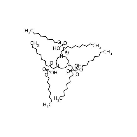 CCCCCCCCOP(=O)(O)P(=O)(CCCCCCCC)CN1CCN(CP(=O)(CCCCCCCC)P(=O)(O)OCCCCCCCC)CCN(CP(=O)(CCCCCCCC)P(=O)(O)OCCCCCCCC)CC1